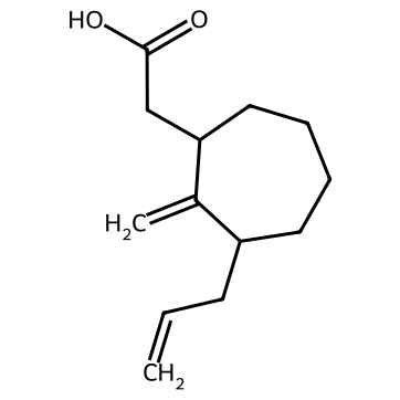 C=CCC1CCCCC(CC(=O)O)C1=C